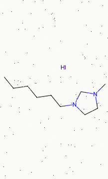 CCCCCCN1CCN(C)C1.I